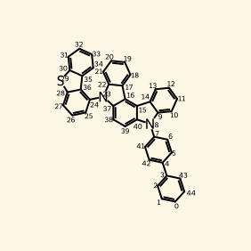 c1ccc(-c2ccc(-n3c4ccccc4c4c5c6ccccc6n(-c6cccc7sc8ccccc8c67)c5ccc43)cc2)cc1